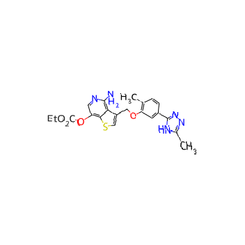 CCOC(=O)Oc1cnc(N)c2c(COc3cc(-c4nnc(C)[nH]4)ccc3C)csc12